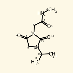 CNC(=O)CN1C(=O)CN(C(C)C)C1=O